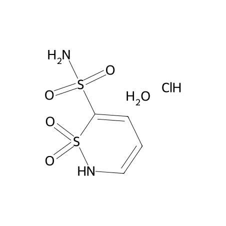 Cl.NS(=O)(=O)C1=CC=CNS1(=O)=O.O